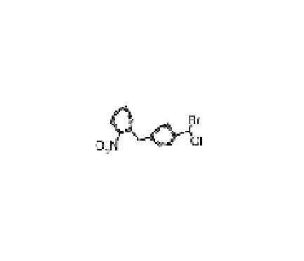 O=[N+]([O-])c1ccccc1Cc1ccc(C(O)Br)cc1